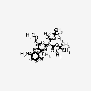 COC[C@H]1OC(N(C(=O)OC(C)(C)C)C(=O)OC(C)(C)C)=N[C@](C)(c2cc(N)ccc2F)[C@H]1F